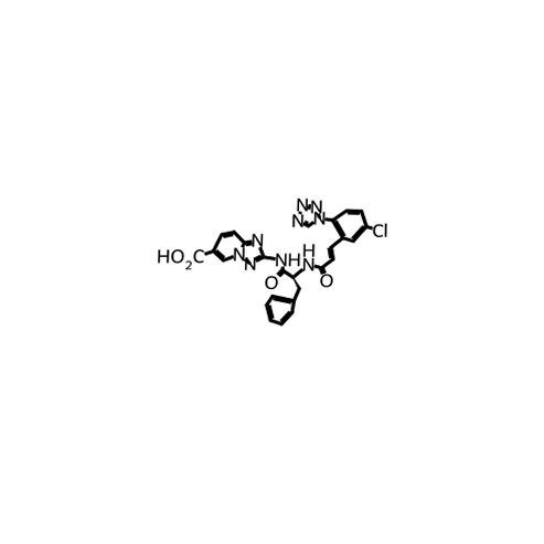 O=C(/C=C/c1cc(Cl)ccc1-n1cnnn1)N[C@@H](Cc1ccccc1)C(=O)Nc1nc2ccc(C(=O)O)cn2n1